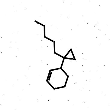 CCCCCC1(C2C=CCCC2)CC1